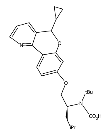 CC(C)C[C@@H](COc1ccc2c(c1)OC(C1CC1)c1cccnc1-2)N(C(=O)O)C(C)(C)C